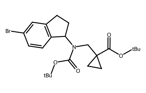 CC(C)(C)OC(=O)N(CC1(C(=O)OC(C)(C)C)CC1)C1CCc2cc(Br)ccc21